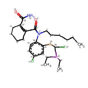 CCCCCCN(C(=O)C1=C(C(N)=O)CCCC1)c1ccc(Cl)cc1SC(F)P(CC)CC